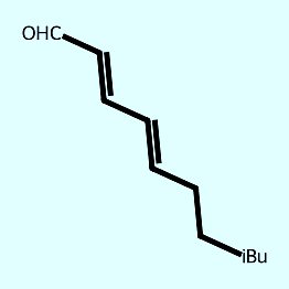 CCC(C)CCC=CC=CC=O